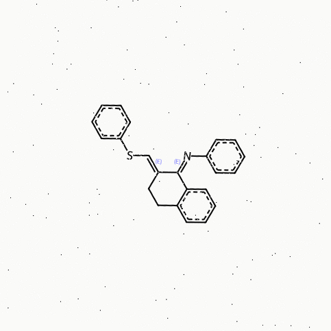 C(/Sc1ccccc1)=C1/CCc2ccccc2/C1=N\c1ccccc1